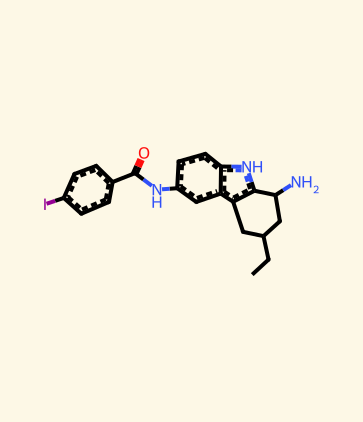 CCC1Cc2c([nH]c3ccc(NC(=O)c4ccc(I)cc4)cc23)C(N)C1